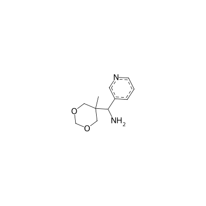 CC1(C(N)c2cccnc2)COCOC1